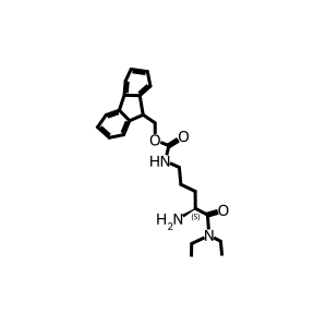 CCN(CC)C(=O)[C@@H](N)CCCNC(=O)OCC1c2ccccc2-c2ccccc21